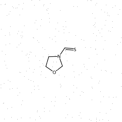 S=CN1CCOC1